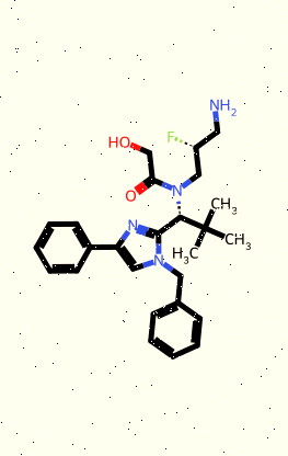 CC(C)(C)[C@H](c1nc(-c2ccccc2)cn1Cc1ccccc1)N(C[C@H](F)CN)C(=O)CO